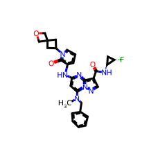 CN(Cc1ccccc1)c1cc(Nc2cccn(C3CC4(COC4)C3)c2=O)nc2c(C(=O)N[C@@H]3C[C@@H]3F)cnn12